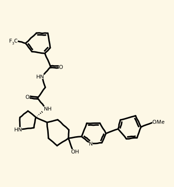 COc1ccc(-c2ccc(C3(O)CCC([C@]4(NC(=O)CNC(=O)c5cccc(C(F)(F)F)c5)CCNC4)CC3)nc2)cc1